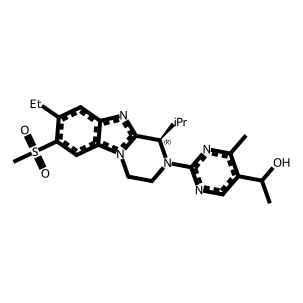 CCc1cc2nc3n(c2cc1S(C)(=O)=O)CCN(c1ncc(C(C)O)c(C)n1)[C@@H]3C(C)C